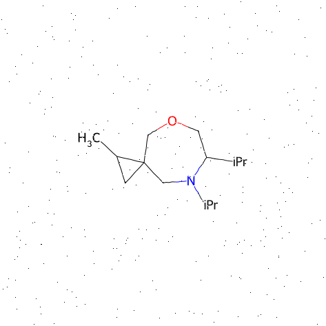 CC(C)C1COCC2(CC2C)CN1C(C)C